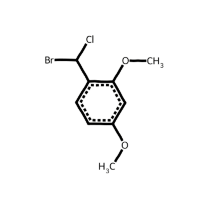 COc1ccc(C(Cl)Br)c(OC)c1